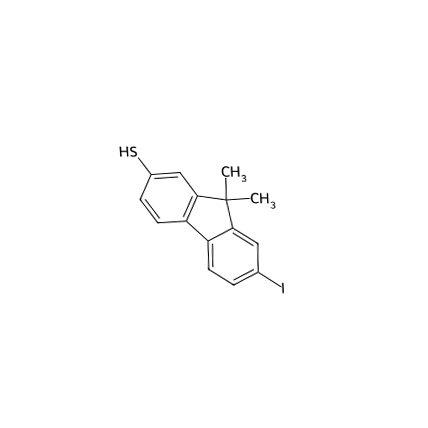 CC1(C)c2cc(S)ccc2-c2ccc(I)cc21